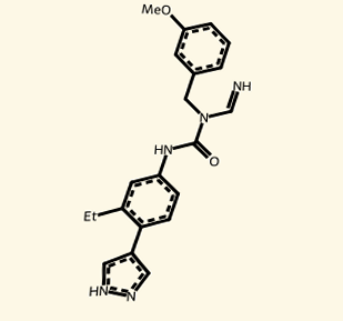 CCc1cc(NC(=O)N(C=N)Cc2cccc(OC)c2)ccc1-c1cn[nH]c1